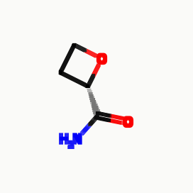 NC(=O)[C@@H]1CCO1